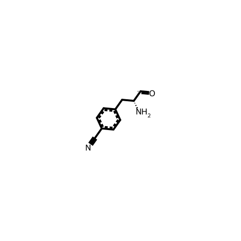 N#Cc1ccc(C[C@@H](N)[C]=O)cc1